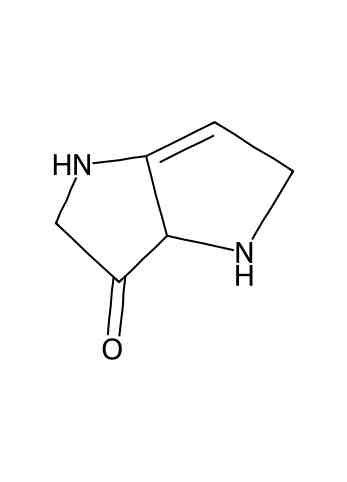 O=C1CNC2=CCNC12